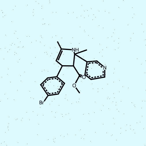 COC(=O)C1C(c2ccc(Br)cc2)C=C(C)NC1(C)c1cccnc1